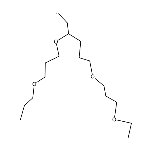 [CH2]CC(CCCOCCCOCC)OCCCOCCC